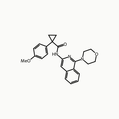 COc1ccc(C2(C(=O)Nc3cc4ccccc4c(N4CCOCC4)n3)CC2)cc1